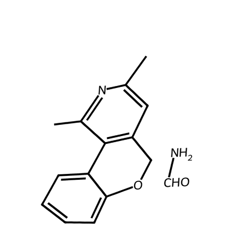 Cc1cc2c(c(C)n1)-c1ccccc1OC2.NC=O